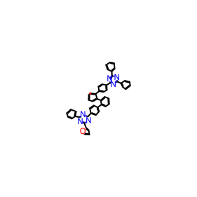 c1ccc(-c2nc(-c3ccccc3)nc(-c3ccc(-c4ccccc4-c4ccccc4-c4ccc(-c5nc(-c6ccccc6)nc(-c6ccco6)n5)cc4)cc3)n2)cc1